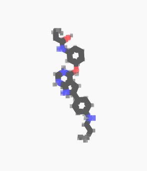 C=CC(=O)Nc1cccc(Oc2ncnc3[nH]c(-c4ccc(NCCNC)cc4)cc23)c1